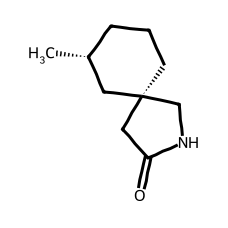 C[C@@H]1CCC[C@@]2(CNC(=O)C2)C1